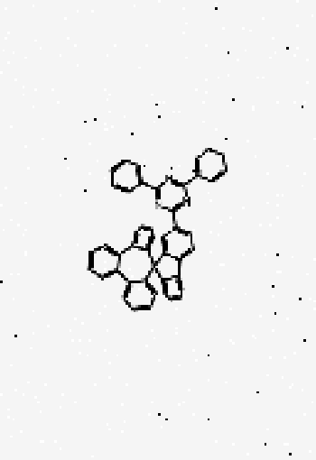 C1=CC(c2nc(-c3ccccc3)nc(-c3ccc4c(c3)C3(c5ccccc5-c5ccccc5-c5ccccc53)c3ccccc3-4)n2)=CCC1